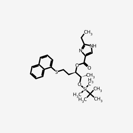 CCc1nc(C(=O)O[C@H](CCSc2cccc3ccccc23)[C@H](C)O[Si](C)(C)C(C)(C)C)c[nH]1